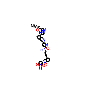 CNC(=O)c1cnn2ccc(-c3cccc4cc(-c5ccc(C(=O)NCCC#Cc6cccc7c6CN(C6CCC(=O)NC6=O)C7=O)nc5)ncc34)nc12